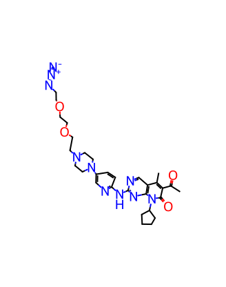 CC(=O)c1c(C)c2cnc(Nc3ccc(N4CCN(CCOCCOCCN=[N+]=[N-])CC4)cn3)nc2n(C2CCCC2)c1=O